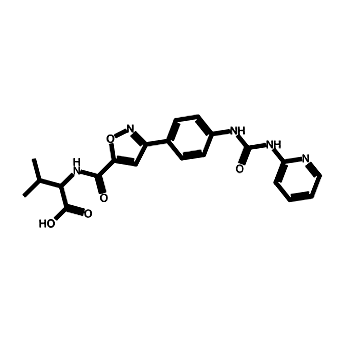 CC(C)C(NC(=O)c1cc(-c2ccc(NC(=O)Nc3ccccn3)cc2)no1)C(=O)O